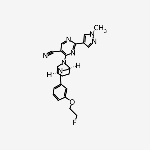 Cn1cc(-c2ncc(C#N)c(N3C[C@@H]4CC[C@H]3CN4c3cccc(OCCF)c3)n2)cn1